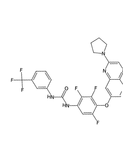 O=C(Nc1cccc(C(F)(F)F)c1)Nc1cc(F)c(Oc2ccc3ncc(N4CCCC4)nc3c2)c(F)c1F